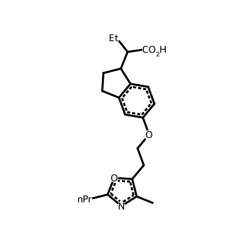 CCCc1nc(C)c(CCOc2ccc3c(c2)CCC3C(CC)C(=O)O)o1